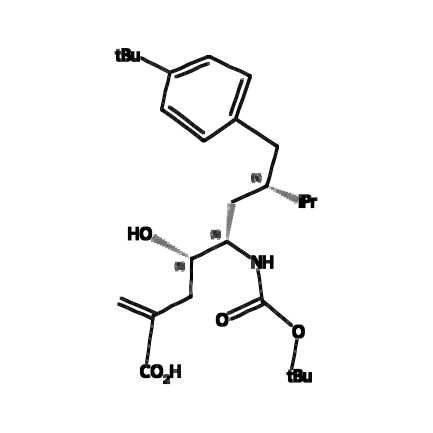 C=C(C[C@H](O)[C@H](C[C@H](Cc1ccc(C(C)(C)C)cc1)C(C)C)NC(=O)OC(C)(C)C)C(=O)O